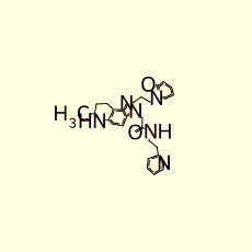 C[C@H]1CCc2c(ccc3c2nc(CCn2ccccc2=O)n3CC(=O)NCCc2ccccn2)N1